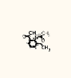 CCc1cccc(C(=O)O)c1OC(C)=O